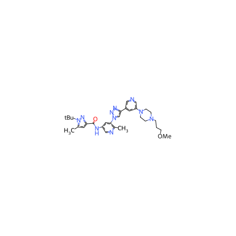 COCCCN1CCN(c2cncc(-c3cn(-c4cc(NC(=O)c5cc(C)n(C(C)(C)C)n5)cnc4C)nn3)c2)CC1